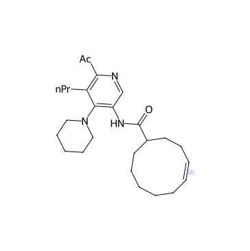 CCCc1c(C(C)=O)ncc(NC(=O)C2CC/C=C\CCCCC2)c1N1CCCCC1